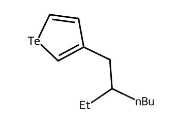 CCCCC(CC)Cc1cc[te]c1